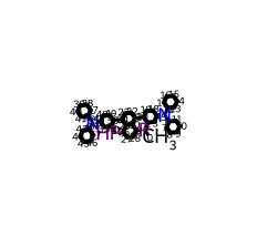 CP1c2cc(N(c3ccccc3)c3ccccc3)ccc2-c2ccc3c4c(ccc1c24)Pc1cc(N(c2ccccc2)c2ccccc2)ccc1-3